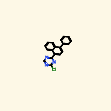 Clc1ncnc(-c2ccc(-c3ccccc3)c3ccccc23)n1